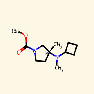 CN(C1CCC1)[C@]1(C)CCN(C(=O)OC(C)(C)C)C1